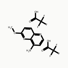 COc1ccc2nccc(N)c2n1.O=C(O)C(F)(F)F.O=C(O)C(F)(F)F